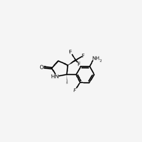 C[C@]1(c2cc(N)ccc2F)NC(=O)C[C@H]1C(F)(F)F